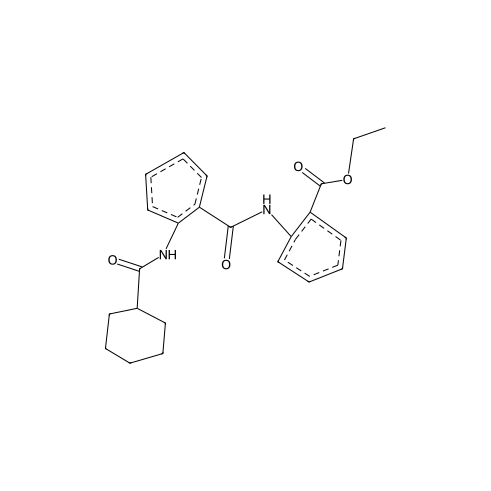 CCOC(=O)c1ccccc1NC(=O)c1ccccc1NC(=O)C1CCCCC1